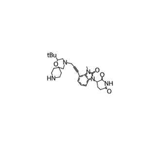 Cn1c(=O)n(C2CCC(=O)NC2=O)c2cccc(C#CCN3CC(C(C)(C)C)OC4(CCNCC4)C3)c21